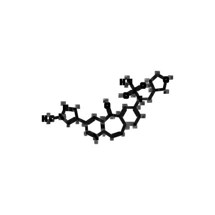 Cn1cc(-c2cnc3ccc4ccc(N(CC5CCOC5)S(N)(=O)=O)cc4c(=O)c3c2)cn1